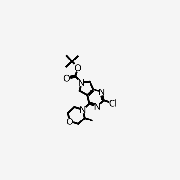 CC1COCCN1c1nc(Cl)nc2c1CN(C(=O)OC(C)(C)C)C2